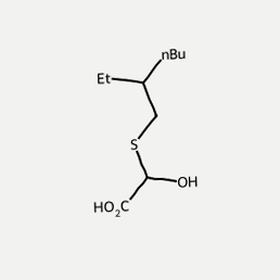 CCCCC(CC)CSC(O)C(=O)O